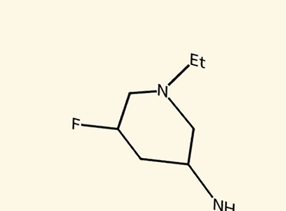 CCN1CC(N)CC(F)C1